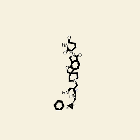 N=C/C(=C\NC[C@H]1C[C@@H]1c1ccccc1)CN1CCC2(CC1)COc1c2ccc2c1CN([C@H]1CCC(=O)NC1=O)C2=O